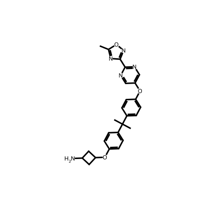 Cc1nc(-c2ncc(Oc3ccc(C(C)(C)c4ccc(OC5CC(N)C5)cc4)cc3)cn2)no1